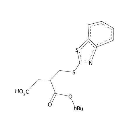 CCCCOC(=O)C(CSc1nc2ccccc2s1)CC(=O)O